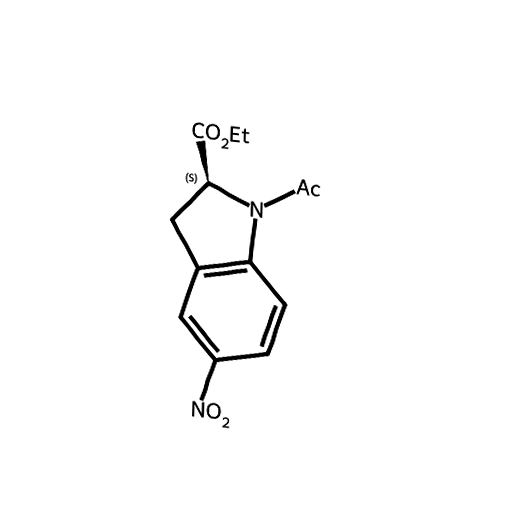 CCOC(=O)[C@@H]1Cc2cc([N+](=O)[O-])ccc2N1C(C)=O